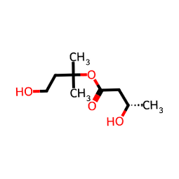 C[C@H](O)CC(=O)OC(C)(C)CCO